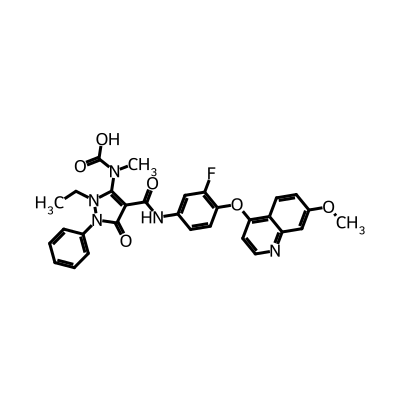 CCn1c(N(C)C(=O)O)c(C(=O)Nc2ccc(Oc3ccnc4cc(OC)ccc34)c(F)c2)c(=O)n1-c1ccccc1